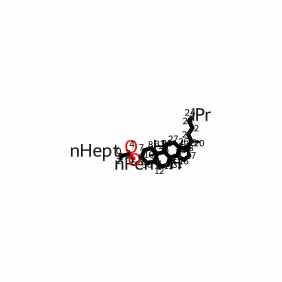 CCCCCCCC(CCCCC)C(=O)O[C@H]1CC[C@@]2(C)C(=CC[C@H]3[C@@H]4CC[C@H]([C@H](C)CCCC(C)C)[C@@]4(C)CC[C@@H]32)C1